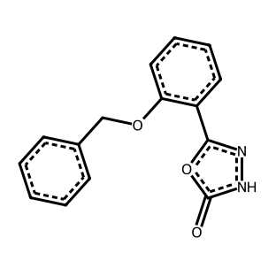 O=c1[nH]nc(-c2ccccc2OCc2ccccc2)o1